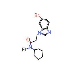 CCN(C(=O)CCn1cnc2ccc(Br)cc21)C1CCCCC1